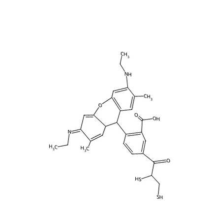 CC/N=C1/C=C2Oc3cc(NCC)c(C)cc3C(c3ccc(C(=O)C(S)CS)cc3C(=O)O)C2C=C1C